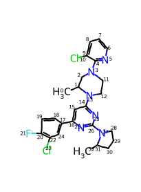 CC1CN(c2ncccc2Cl)CCN1c1cc(-c2ccc(F)c(Cl)c2)nc(N2CCCC2C)n1